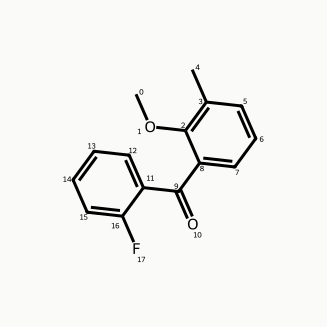 COc1c(C)cccc1C(=O)c1ccccc1F